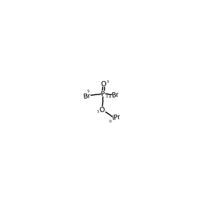 CC(C)OP(=O)(Br)Br